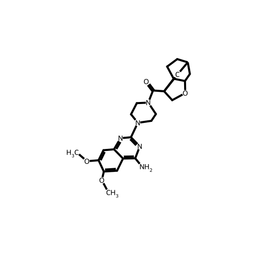 COc1cc2nc(N3CCN(C(=O)C45COC6CC(CCC64)C5)CC3)nc(N)c2cc1OC